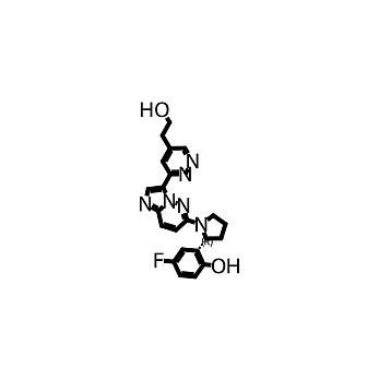 OCCc1cnnc(-c2cnc3ccc(N4CCC[C@@H]4c4cc(F)ccc4O)nn23)c1